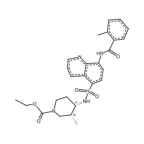 CCOC(=O)N1CC[C@H](NS(=O)(=O)c2ccc(NC(=O)c3ccccc3C)c3ncccc23)[C@H](C)C1